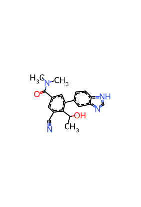 CC(O)c1c(C#N)cc(C(=O)N(C)C)cc1-c1ccc2[nH]cnc2c1